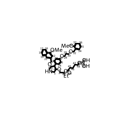 CCC(COC1CNCC(OCc2cc(OC)c3ccccc3c2)C1c1ccc(OCCCOCc2ccccc2OC)cc1)OC(=O)CCCCON(O)O